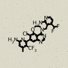 Cc1cc(N)nc(-c2cc3ncnc4c3c(c2Cl)OCCN4Cc2c(C(F)F)ccnc2N)c1C(F)(F)F